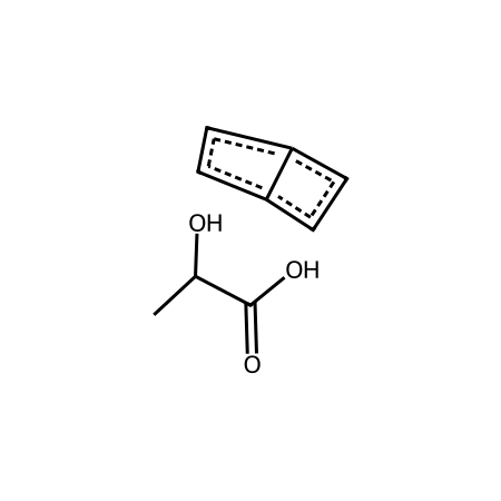 CC(O)C(=O)O.c1cc2ccc1-2